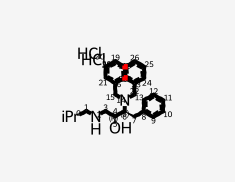 CC(C)CNC[C@@H](O)[C@H](Cc1ccccc1)N(Cc1ccccc1)Cc1ccccc1.Cl.Cl